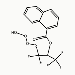 O=C(OC(C(F)(F)F)C(F)(F)SOOO)c1cccc2ccccc12